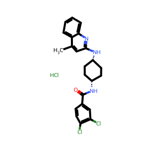 Cc1cc(N[C@H]2CC[C@@H](NC(=O)c3ccc(Cl)c(Cl)c3)CC2)nc2ccccc12.Cl